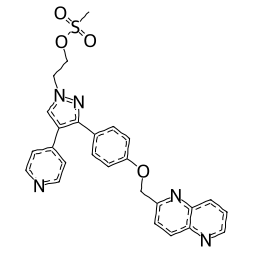 CS(=O)(=O)OCCn1cc(-c2ccncc2)c(-c2ccc(OCc3ccc4ncccc4n3)cc2)n1